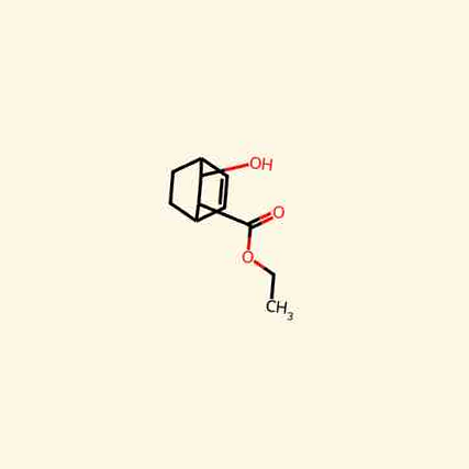 CCOC(=O)C1C2C=CC(CC2)C1O